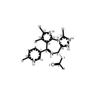 CC(=O)C[C@@H]1N=C(c2ccc(C)nc2)c2c(sc(C)c2C)-n2c(C)nnc21